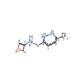 FC(F)(F)c1ccc(CNC2COC2)nn1